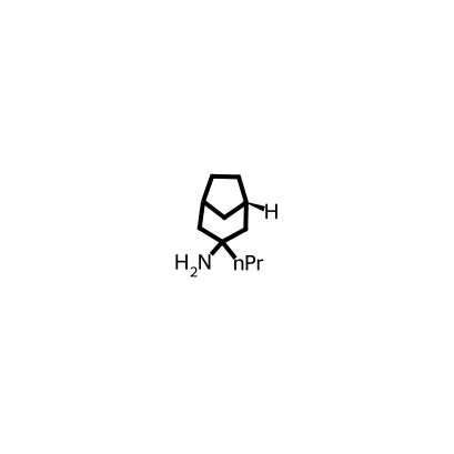 CCCC1(N)CC2CC[C@@H](C2)C1